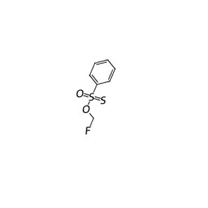 O=S(=S)(OCF)c1ccccc1